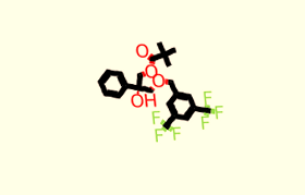 CC(C)(C)C(=O)OC[C@@](O)(COCc1cc(C(F)(F)F)cc(C(F)(F)F)c1)c1ccccc1